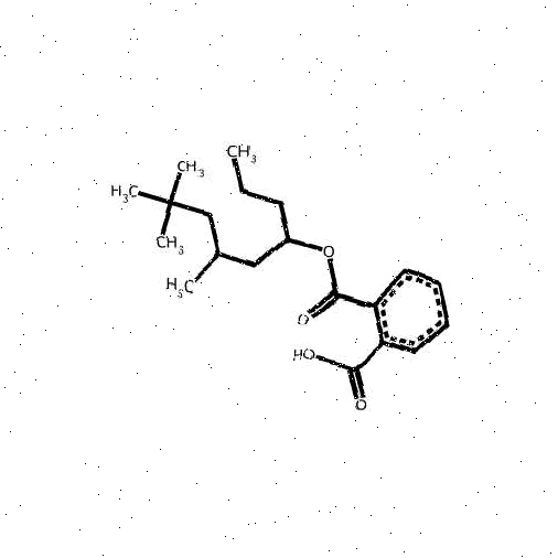 CCCC(CC(C)CC(C)(C)C)OC(=O)c1ccccc1C(=O)O